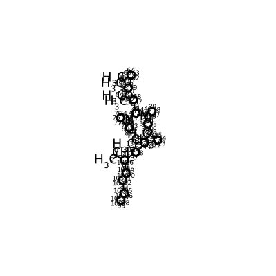 CC(C)c1cc(-c2ccc3c(c2)C(C)(C)c2cc4c(cc2-3)-c2ccccc2C4(C)Cc2ccc3c(c2)c2ccccc2n3-c2cc(-c3ccc4c(c3)C(C)(C)c3cc5c(cc3-4)-c3ccccc3C5(C)C)cc(-n3c4ccccc4c4ccccc43)c2)cc(-c2ccc3cc(-c4ccc5ccccc5c4)ccc3c2)c1